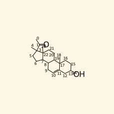 CC(=O)C1(C)CCC2C3CC=C4CC(O)CCC4(C)C3CCC21C